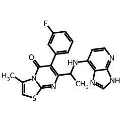 Cc1csc2nc(C(C)Nc3ccnc4[nH]cnc34)c(-c3cccc(F)c3)c(=O)n12